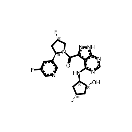 C[C@H]1C[C@@H](O)[C@H](Nc2ncnc3[nH]nc(C(=O)N4C[C@@H](F)C[C@@H]4c4cncc(F)c4)c23)C1